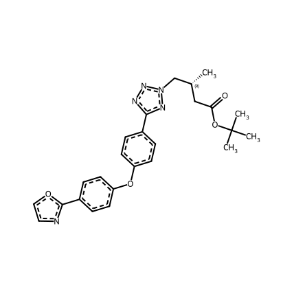 C[C@H](CC(=O)OC(C)(C)C)Cn1nnc(-c2ccc(Oc3ccc(-c4ncco4)cc3)cc2)n1